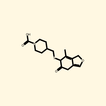 CC1=C2COC=C2CC(=O)C1SCC1CCN(C(=O)O)CC1